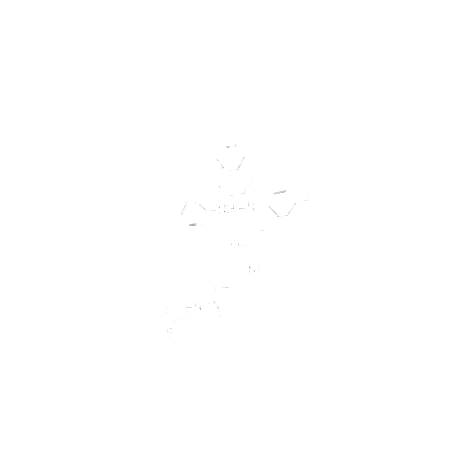 O=C(NCC(F)F)OC[C@@H]1CO[C@H](CCc2cc(F)ccc2NC(=O)[C@H](Cc2ccccc2)Nc2ccccc2)CN1